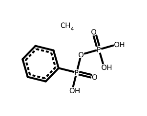 C.O=P(O)(O)OP(=O)(O)c1ccccc1